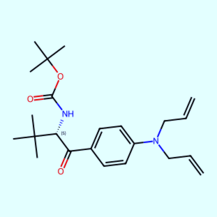 C=CCN(CC=C)c1ccc(C(=O)[C@@H](NC(=O)OC(C)(C)C)C(C)(C)C)cc1